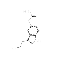 NC(=O)Cc1ccc2[nH]cc(CCCl)c2c1